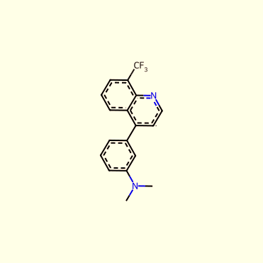 CN(C)c1cccc(-c2[c]cnc3c(C(F)(F)F)cccc23)c1